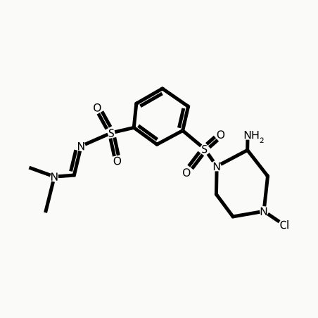 CN(C)C=NS(=O)(=O)c1cccc(S(=O)(=O)N2CCN(Cl)CC2N)c1